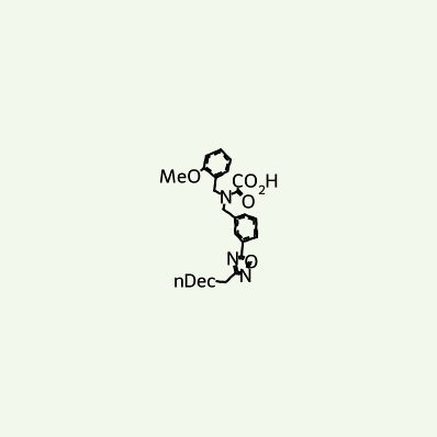 CCCCCCCCCCCc1noc(-c2cccc(CN(Cc3ccccc3OC)C(=O)C(=O)O)c2)n1